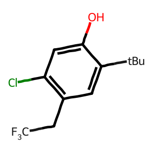 CC(C)(C)c1cc(CC(F)(F)F)c(Cl)cc1O